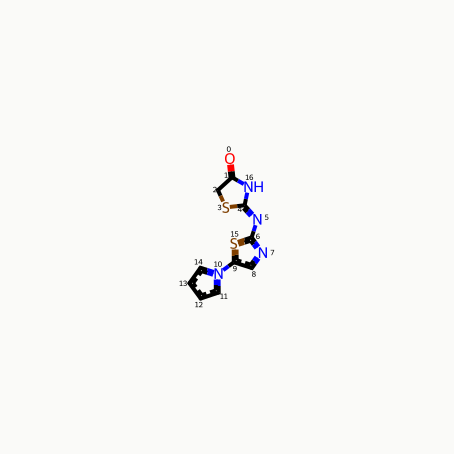 O=C1CSC(=Nc2ncc(-n3cccc3)s2)N1